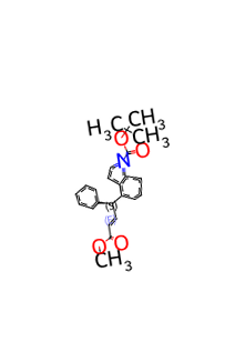 COC(=O)/C=C/[C@@H](c1ccccc1)c1cccc2c1ccn2C(=O)OC(C)(C)C